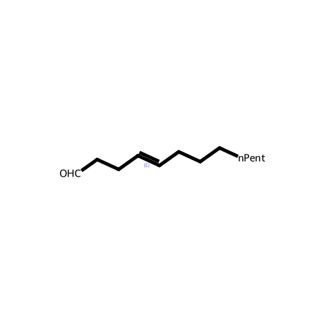 CCCCCCCC/C=C/CCC=O